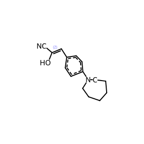 N#C/C(O)=C/c1ccc(N2CCCCCC2)cc1